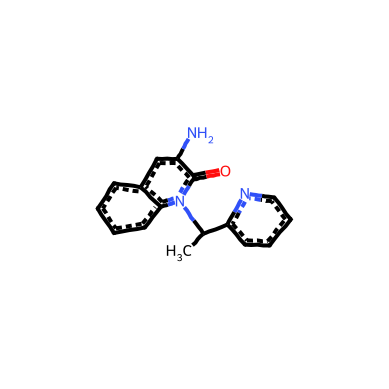 CC(c1ccccn1)n1c(=O)c(N)cc2ccccc21